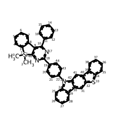 C[Si]1(C)c2ccccc2-c2c(-c3ccccc3)nc(-c3ccc(-n4c5ccccc5c5cc6sc7ccccc7c6cc54)cc3)nc21